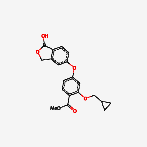 COC(=O)c1ccc(Oc2ccc3c(c2)COB3O)cc1OCC1CC1